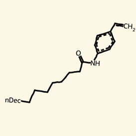 C=Cc1ccc(NC(=O)CCCCCCCCCCCCCCCCC)cc1